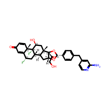 C[C@]12C=CC(=O)C=C1[C@@H](F)C[C@H]1[C@@H]3C[C@H]4O[C@@H](c5ccc(Cc6ccnc(N)c6)cc5)O[C@@]4(C(=O)CO)[C@@]3(C)C[C@H](O)[C@@]12F